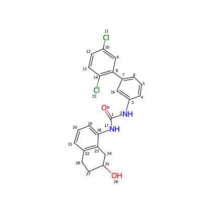 O=C(Nc1cccc(-c2cc(Cl)ccc2Cl)c1)Nc1cccc2c1CC(O)CC2